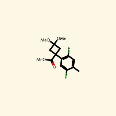 COC(=O)C1(c2cc(F)c(C)cc2F)CC(OC)(OC)C1